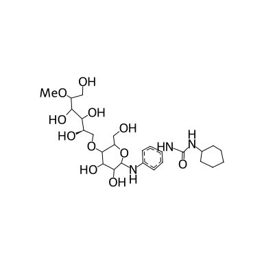 COC(CO)C(O)C(O)[C@H](O)COC1C(CO)OC(Nc2ccc(NC(=O)NC3CCCCC3)cc2)C(O)C1O